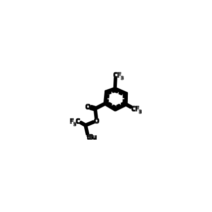 CC(C)(C)C(OC(=O)c1cc(C(F)(F)F)cc(C(F)(F)F)c1)C(F)(F)F